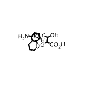 Nc1cccc2c1CCCO2.O=C(O)C(O)C(O)C(=O)O